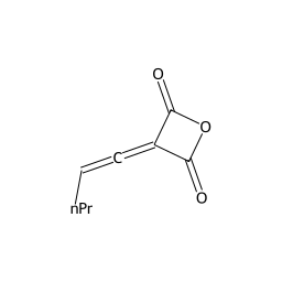 CCCC=C=C1C(=O)OC1=O